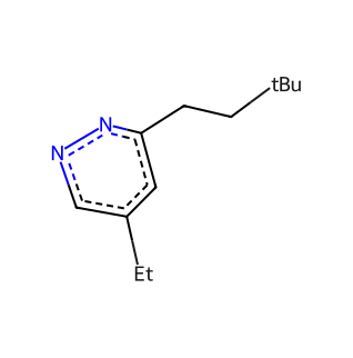 CCc1cnnc(CCC(C)(C)C)c1